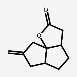 C=C1CC2CCC3CC(=O)OC23C1